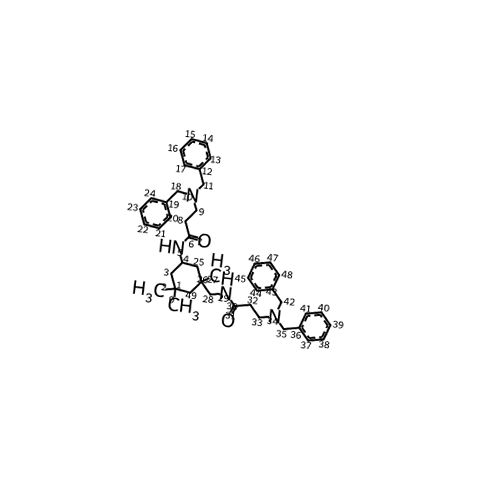 CC1(C)CC(NC(=O)CCN(Cc2ccccc2)Cc2ccccc2)CC(C)(CNC(=O)CCN(Cc2ccccc2)Cc2ccccc2)C1